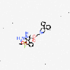 CCOC(=O)C1=C(N)NC(C)=C(C(=O)OCCCN2CCC(c3ccccc3)(c3ccccc3)CC2)C1c1ccccc1C(F)F